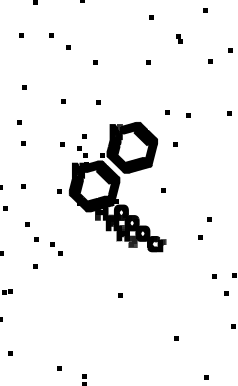 O.O.O.[Cr].c1ccncc1.c1ccncc1